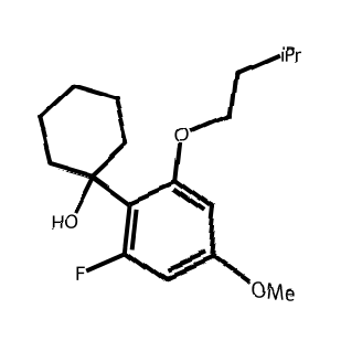 COc1cc(F)c(C2(O)CCCCC2)c(OCCC(C)C)c1